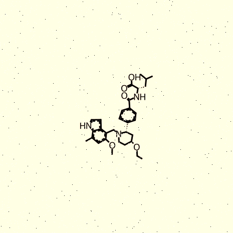 CCO[C@H]1CCN(Cc2c(OC)cc(C)c3[nH]ccc23)[C@H](c2ccc(C(=O)N[C@@H](CC(C)C)C(=O)O)cc2)C1